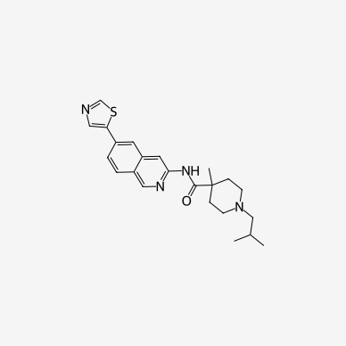 CC(C)CN1CCC(C)(C(=O)Nc2cc3cc(-c4cncs4)ccc3cn2)CC1